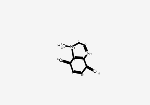 CN1CC=NC2=C1C(=O)C=CC2=O